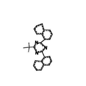 CC(C)(C)c1nc(-c2cccc3ccccc23)nc(-c2cccc3ccccc23)n1